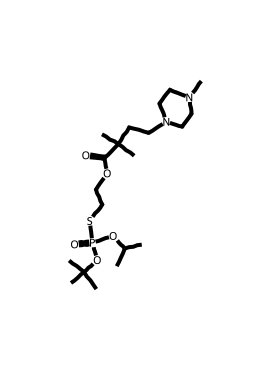 CC(C)OP(=O)(OC(C)(C)C)SCCOC(=O)C(C)(C)CCN1CCN(C)CC1